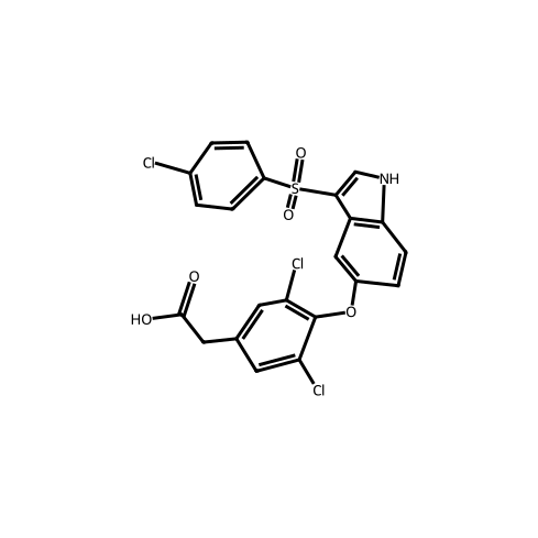 O=C(O)Cc1cc(Cl)c(Oc2ccc3[nH]cc(S(=O)(=O)c4ccc(Cl)cc4)c3c2)c(Cl)c1